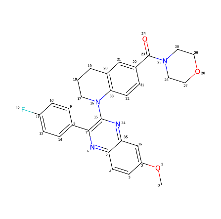 COc1ccc2nc(-c3ccc(F)cc3)c(N3CCCc4cc(C(=O)N5CCOCC5)ccc43)nc2c1